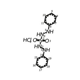 Cl.O=S(=O)(NNc1ccccc1)NNc1ccccc1